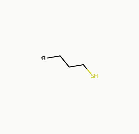 SCC[CH2][Bi]